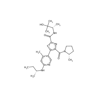 CC[C@@H](C)Nc1cc(C)c(-c2sc(C(=O)N[C@@H](C)C(C)(C)O)nc2C(=O)N2CCC[C@@H]2C)cn1